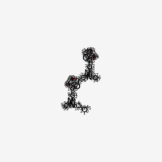 c1ccc(-c2ccc(-c3cc(-c4ccc(-c5ccc6c(c5)Oc5cc(-c7ccc(-c8nc(-c9ccccc9)cc(-c9ccc(-c%10ccc%11c(c%10)Oc%10ccccc%10C%11%10c%11ccccc%11-c%11ccccc%11%10)cc9)n8)cc7)ccc5C65c6ccccc6-c6ccccc65)cc4)nc(-c4ccccc4)n3)cc2)cc1